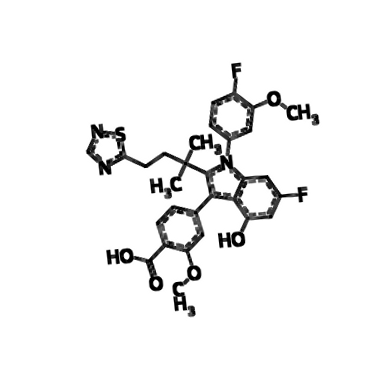 COc1cc(-n2c(C(C)(C)CCc3ncns3)c(-c3ccc(C(=O)O)c(OC)c3)c3c(O)cc(F)cc32)ccc1F